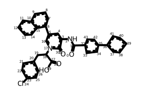 O=C(Nc1cc(-c2cccc3ccccc23)cn(C(Cc2ccc(Cl)cc2)C(=O)O)c1=O)c1ccc(-c2ccccc2)cc1